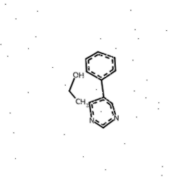 CCO.c1ccc(-c2cncnc2)cc1